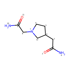 NC(=O)CC1CCN(CC(N)=O)C1